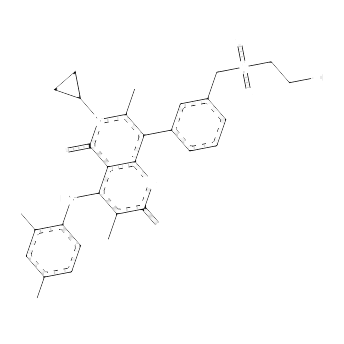 Cc1c(Nc2ccc(I)cc2F)c2c(=O)n(C3CC3)c(C)c(-c3cccc(CS(=O)(=O)CCO)c3)c2oc1=O